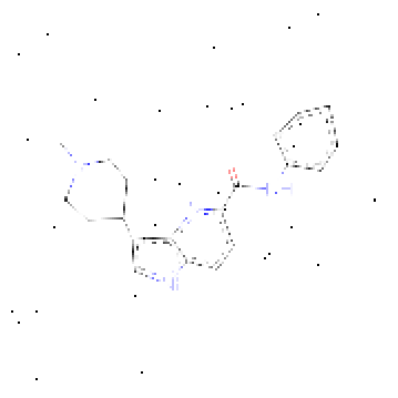 CN1CCC(c2c[nH]c3ccc(C(=O)Nc4ccccc4)nc23)CC1